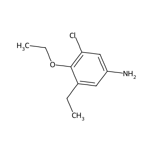 CCOc1c(Cl)cc(N)cc1CC